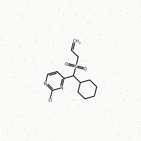 C=CCS(=O)(=O)C(c1ccnc(Cl)n1)C1CCCCC1